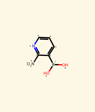 O=[N+]([O-])c1ncccc1B(O)O